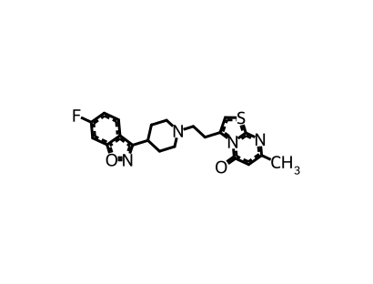 Cc1cc(=O)n2c(CCN3CCC(c4noc5cc(F)ccc45)CC3)csc2n1